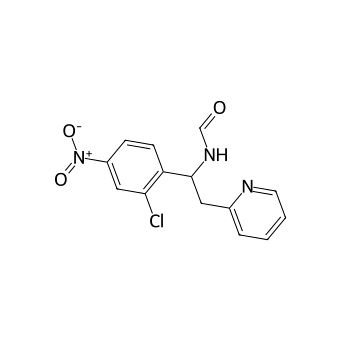 O=CNC(Cc1ccccn1)c1ccc([N+](=O)[O-])cc1Cl